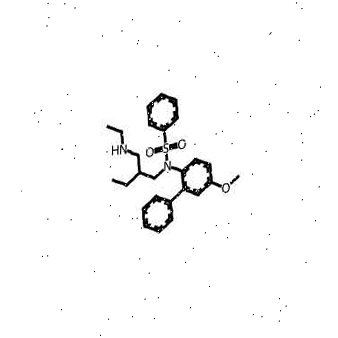 CCNCC(CC)CN(c1ccc(OC)cc1-c1ccccc1)S(=O)(=O)c1ccccc1